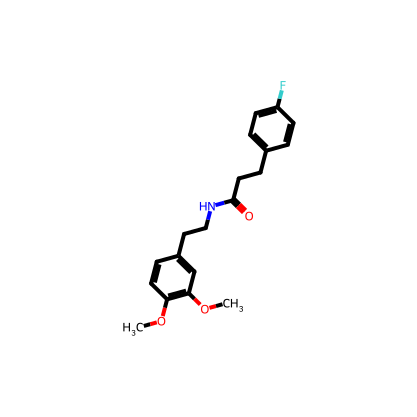 COc1ccc(CCNC(=O)CCc2ccc(F)cc2)cc1OC